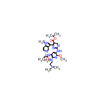 C=CC(=O)Nc1cc(Nc2ncc(C(=O)OC(C)C)c(-c3cn(C)c4ccncc34)n2)c(OC)nc1N(C)CCN(C)C